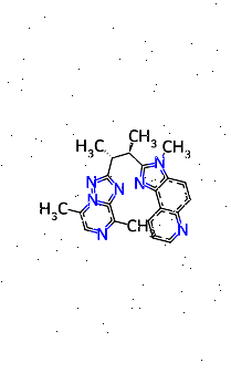 Cc1ncc(C)n2nc([C@H](C)[C@@H](C)c3nc4c5cccnc5ccc4n3C)nc12